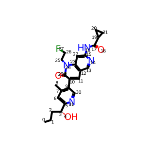 CCC[C@@H](O)c1cc(C)c(-c2cc3cnc(NC(=O)C4CC4)cc3n(CCF)c2=O)cn1